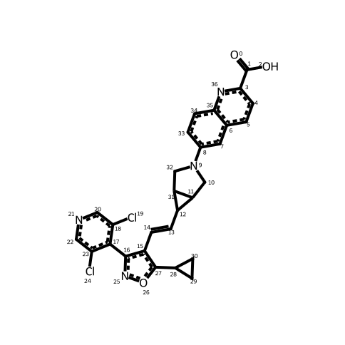 O=C(O)c1ccc2cc(N3CC4C(C=Cc5c(-c6c(Cl)cncc6Cl)noc5C5CC5)C4C3)ccc2n1